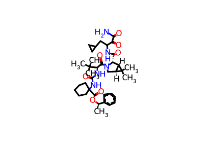 C[C@@H](OC(=O)C1(NC(=O)N[C@H](C(=O)N2C[C@H]3[C@@H]([C@H]2C(=O)NC(CC2CC2)C(=O)C(N)=O)C3(C)C)C(C)(C)C)CCCCC1)c1ccccc1